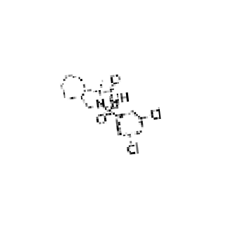 CC1(C(=O)O)C2CCCCC2CN1S(=O)(=O)c1cc(Cl)cc(Cl)c1